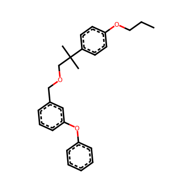 CCCOc1ccc(C(C)(C)COCc2cccc(Oc3ccccc3)c2)cc1